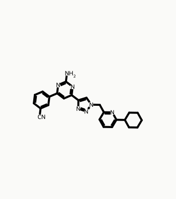 N#Cc1cccc(-c2cc(-c3cn(Cc4cccc(C5CCCCC5)n4)nn3)nc(N)n2)c1